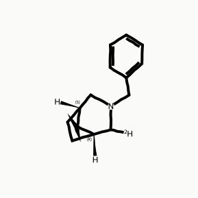 [2H]C1[C@@H]2CC[C@H](CN1Cc1ccccc1)C21CC1